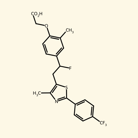 Cc1cc(C(F)Cc2sc(-c3ccc(C(F)(F)F)cc3)nc2C)ccc1OCC(=O)O